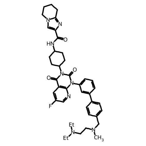 CCN(CC)CCN(C)Cc1ccc(-c2cccc(-n3c(=O)n(C4CCC(NC(=O)c5cn6c(n5)CCCC6)CC4)c(=O)c4cc(F)cnc43)c2)cc1